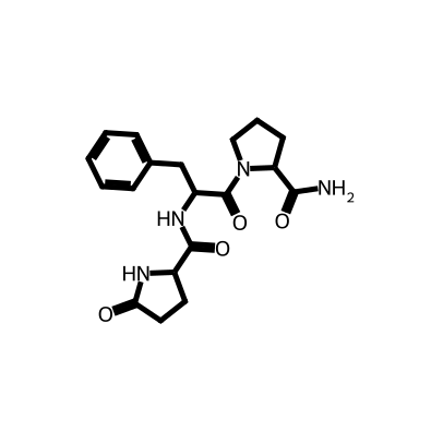 NC(=O)C1CCCN1C(=O)C(Cc1ccccc1)NC(=O)C1CCC(=O)N1